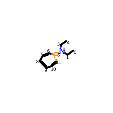 CCN(CC)P1C=CC=CC=C1